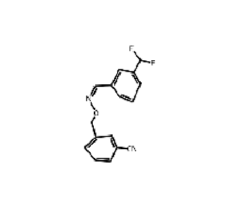 N#Cc1cccc(CO/N=[C]\c2cccc(C(F)F)c2)c1